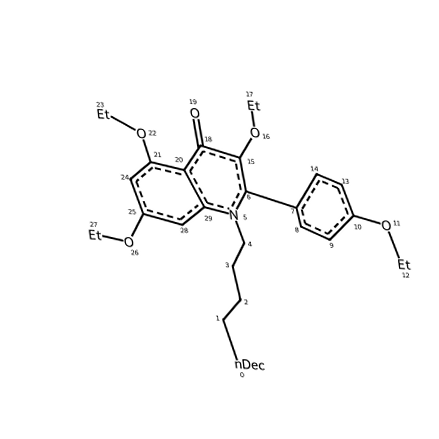 CCCCCCCCCCCCCCn1c(-c2ccc(OCC)cc2)c(OCC)c(=O)c2c(OCC)cc(OCC)cc21